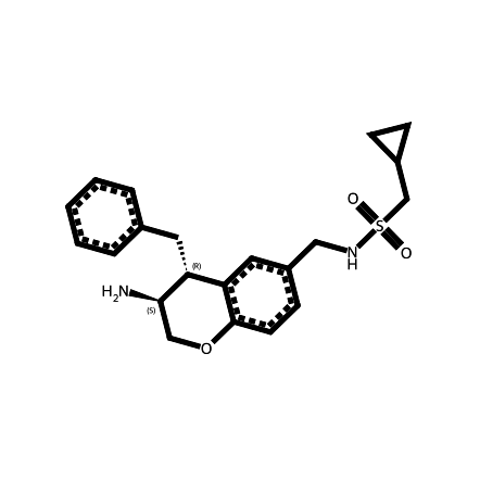 N[C@@H]1COc2ccc(CNS(=O)(=O)CC3CC3)cc2[C@H]1Cc1ccccc1